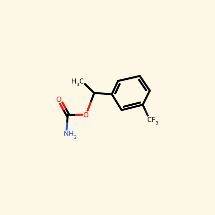 CC(OC(N)=O)c1cccc(C(F)(F)F)c1